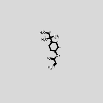 C=CC(=O)OC1CCC(C(C)(C)CC)CC1